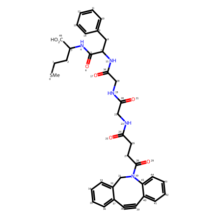 CSCCC(NC(=O)C(Cc1ccccc1)NC(=O)CNC(=O)CNC(=O)CCC(=O)N1Cc2ccccc2C#Cc2ccccc21)C(=O)O